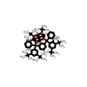 CC(C)(C)c1cc(C(C)(C)C)c(O)c(C(c2ccccc2)(c2cccc(C(c3ccccc3)(c3cc(C(C)(C)C)cc(C(C)(C)C)c3O)c3cc(C(C)(C)C)cc(C(C)(C)C)c3O)c2)c2cc(C(C)(C)C)cc(C(C)(C)C)c2O)c1